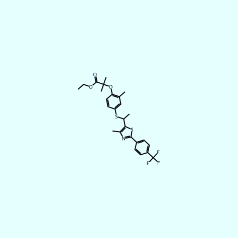 CCOC(=O)C(C)(C)Oc1ccc(SC(C)c2sc(-c3ccc(C(F)(F)F)cc3)nc2C)cc1C